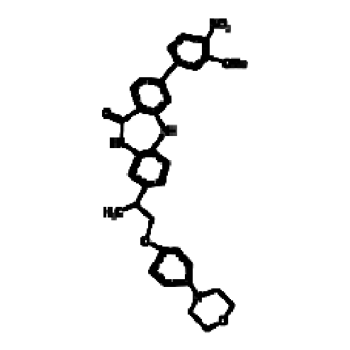 COc1cc(-c2ccc3c(c2)Nc2ccc(C(C)COc4ccc(N5CCOCC5)cc4)cc2NC3=O)ccc1[N+](=O)[O-]